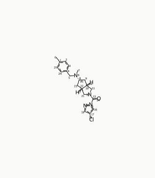 Cc1ccc(CN(C)[C@@H]2C[C@@H]3CN(C(=O)n4cc(Cl)cn4)C[C@@H]3C2)cc1